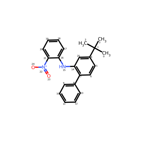 CC(C)(C)c1ccc(-c2ccccc2)c(Nc2ccccc2[N+](=O)[O-])c1